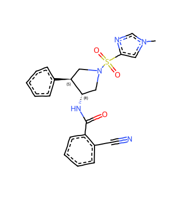 Cn1cnc(S(=O)(=O)N2C[C@H](NC(=O)c3ccccc3C#N)[C@@H](c3ccccc3)C2)c1